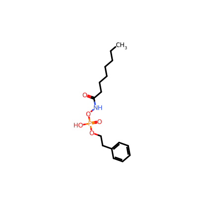 CCCCCCCC(=O)NOP(=O)(O)OCCc1ccccc1